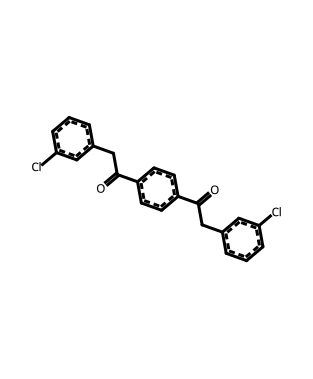 O=C(Cc1cccc(Cl)c1)c1ccc(C(=O)Cc2cccc(Cl)c2)cc1